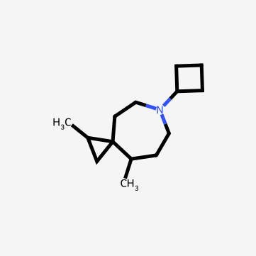 CC1CCN(C2CCC2)CCC12CC2C